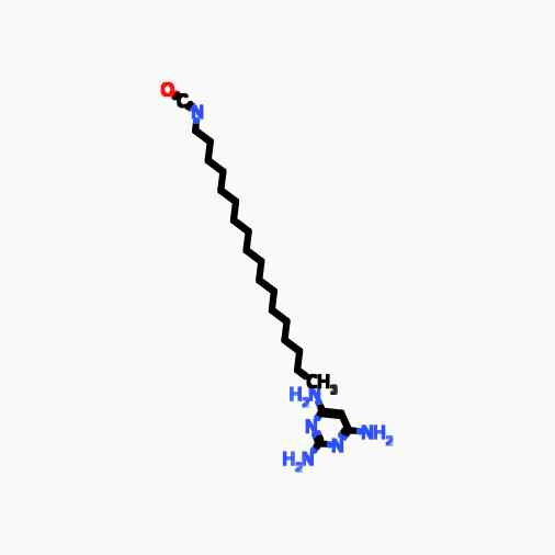 CCCCCCCCCCCCCCCCCCN=C=O.Nc1cc(N)nc(N)n1